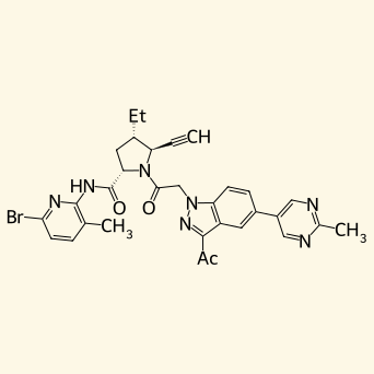 C#C[C@@H]1[C@@H](CC)C[C@@H](C(=O)Nc2nc(Br)ccc2C)N1C(=O)Cn1nc(C(C)=O)c2cc(-c3cnc(C)nc3)ccc21